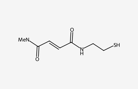 CNC(=O)/C=C/C(=O)NCCS